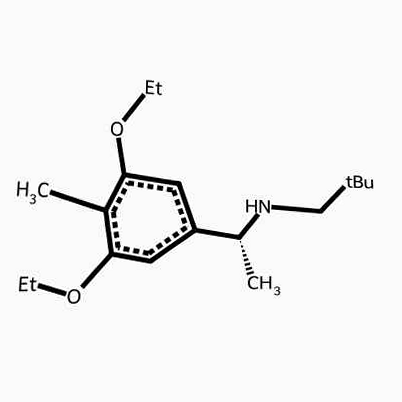 CCOc1cc([C@@H](C)NCC(C)(C)C)cc(OCC)c1C